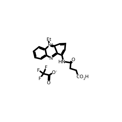 CC[n+]1c2ccccc2nc2c(NC(=O)CCC(=O)O)cccc21.O=C([O-])C(F)(F)F